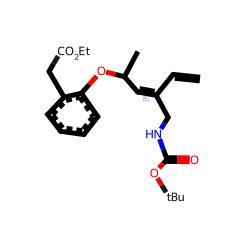 C=C/C(=C\C(C)Oc1ccccc1CC(=O)OCC)CNC(=O)OC(C)(C)C